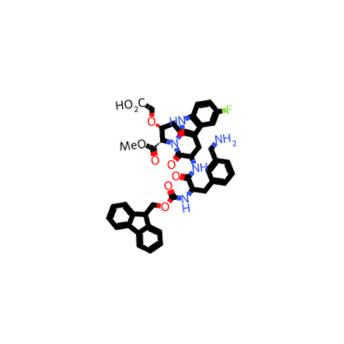 COC(=O)[C@@H]1[C@@H](OCC(=O)O)CCN1C(=O)C(Cc1c[nH]c2ccc(F)cc12)NC(=O)C(Cc1cccc(CN)c1)NC(=O)OCC1c2ccccc2-c2ccccc21